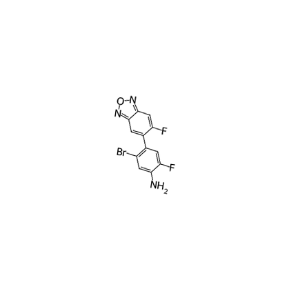 Nc1cc(Br)c(-c2cc3nonc3cc2F)cc1F